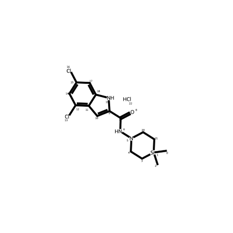 C[Si]1(C)CCN(NC(=O)c2cc3c(Cl)cc(Cl)cc3[nH]2)CC1.Cl